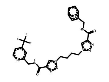 O=C(NCc1cc(C(F)(F)F)ccn1)c1cn(CCCCn2cc(C(=O)NCc3cc4ccc3o4)nn2)nn1